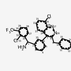 NC(c1cccc(-c2c(Cc3ccccc3)nnc3c(Cl)cccc23)c1)c1cccc(C(F)(F)F)c1Cl